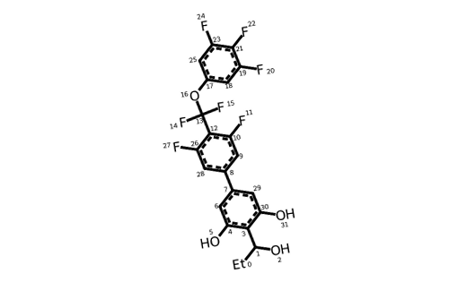 CCC(O)c1c(O)cc(-c2cc(F)c(C(F)(F)Oc3cc(F)c(F)c(F)c3)c(F)c2)cc1O